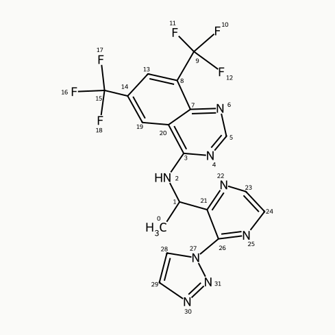 CC(Nc1ncnc2c(C(F)(F)F)cc(C(F)(F)F)cc12)c1nccnc1-n1ccnn1